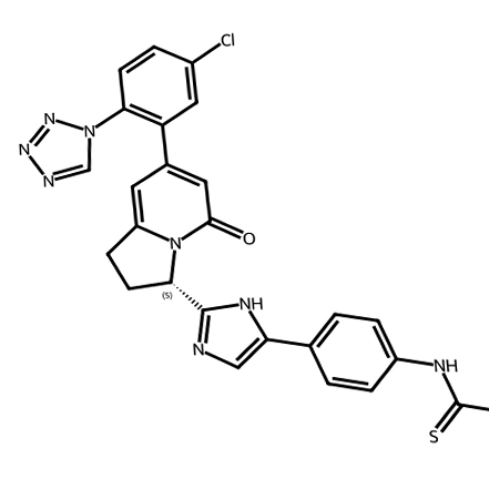 CC(=S)Nc1ccc(-c2cnc([C@@H]3CCc4cc(-c5cc(Cl)ccc5-n5cnnn5)cc(=O)n43)[nH]2)cc1